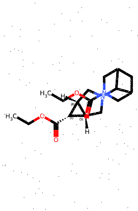 CCOC(=O)[C@@H]1[C@@H]2CN(C3C4CC3CN(C(=O)OCC)C4)C[C@@H]21